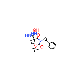 CC(C)(C)OC(=O)N(C(=O)C1(C(=N)NO)CCC1)[C@H]1CC1c1ccccc1